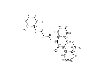 C[C@@H]1CCC[C@H](C)N1CCCCCN1C(=O)C(c2cnccc2N(C)C)Sc2ccccc21